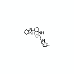 Cc1ccn2cc(CCC(=O)NC3CCCC(c4nc5ccccc5[nH]4)C3)nc2c1